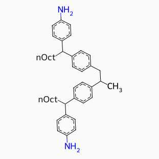 CCCCCCCCC(c1ccc(N)cc1)c1ccc(CC(C)c2ccc(C(CCCCCCCC)c3ccc(N)cc3)cc2)cc1